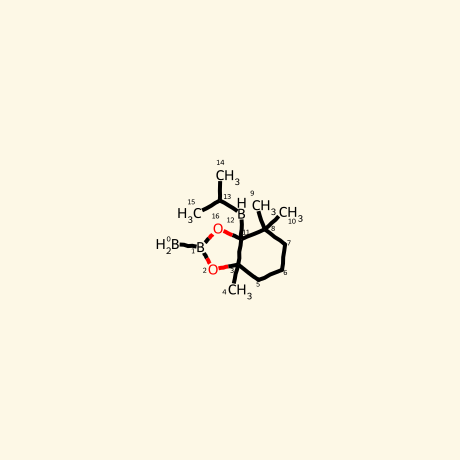 BB1OC2(C)CCCC(C)(C)C2(BC(C)C)O1